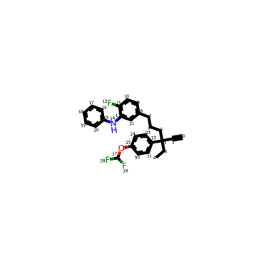 C#CC(CC)(CCCc1ccc(F)c(Nc2ccccc2)c1)c1ccc(OC(F)F)cc1